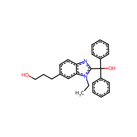 CCn1c(C(O)(c2ccccc2)c2ccccc2)nc2ccc(CCCO)cc21